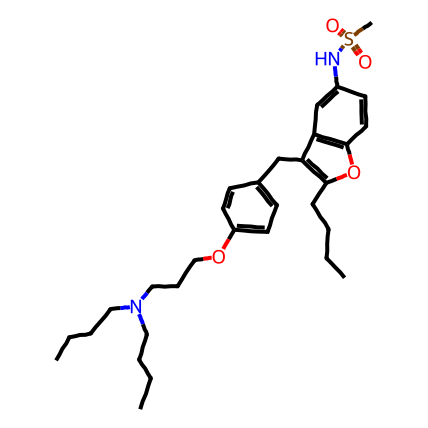 CCCCc1oc2ccc(NS(C)(=O)=O)cc2c1Cc1ccc(OCCCN(CCCC)CCCC)cc1